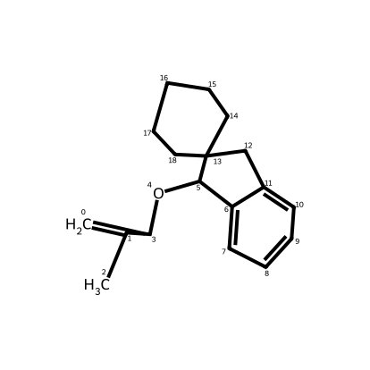 C=C(C)COC1c2ccccc2CC12CCCCC2